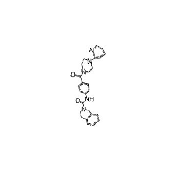 O=C(Nc1ccc(C(=O)N2CCN(c3ccccn3)CC2)cc1)N1CCc2ccccc2C1